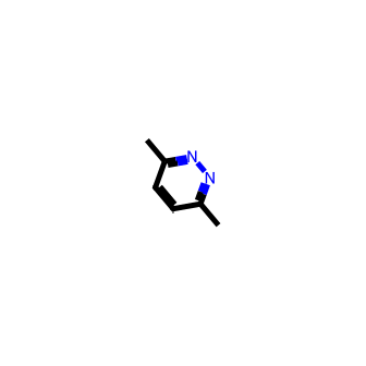 Cc1[c]cc(C)nn1